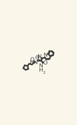 NC(=O)c1c(-c2ccc3ccccc3n2)noc1NC(=O)CCC1CCCC1